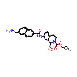 CCOC(=O)N1CCc2ccc(NC(=O)c3ccc4cc(C=NN)ccc4c3)cc2C1CO